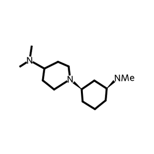 CN[C@H]1CCC[C@@H](N2CCC(N(C)C)CC2)C1